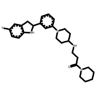 O=C(CCNC1CCN(c2cccc(C3Cc4cc(F)ccc4N3)c2)CC1)N1CCCCC1